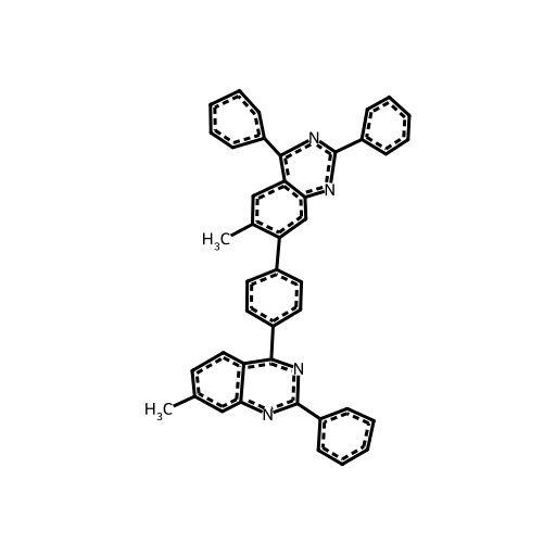 Cc1ccc2c(-c3ccc(-c4cc5nc(-c6ccccc6)nc(-c6ccccc6)c5cc4C)cc3)nc(-c3ccccc3)nc2c1